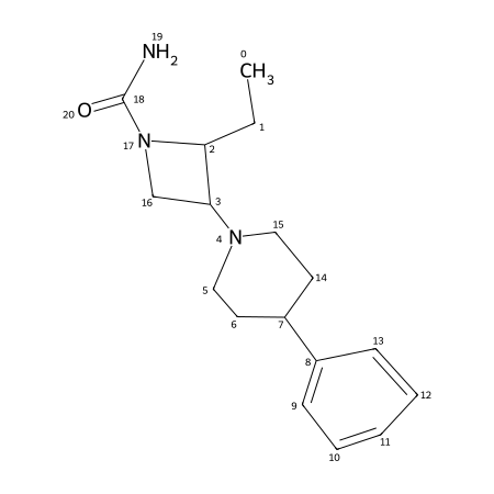 CCC1C(N2CCC(c3ccccc3)CC2)CN1C(N)=O